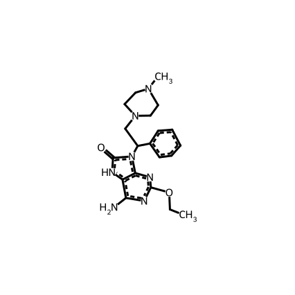 CCOc1nc(N)c2[nH]c(=O)n(C(CN3CCN(C)CC3)c3ccccc3)c2n1